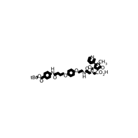 CN1C(=O)C[C@H](C(=O)N(CC(=O)O)CC(=O)NCCOC2CCC(OCCCC(=O)NC3CCC(C(=O)OC(C)(C)C)CC3)CC2)[C@H]1c1cccnc1